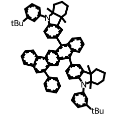 CC(C)(C)c1cccc(N2c3ccc(-c4c5ccccc5c(-c5ccc6c(c5)C5(C)CCCCC5(C)N6c5cccc(C(C)(C)C)c5)c5cc6c(cc45)c(-c4ccccc4)cc4ccccc46)cc3C3(C)CCCCC23C)c1